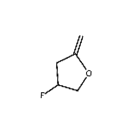 C=C1CC(F)CO1